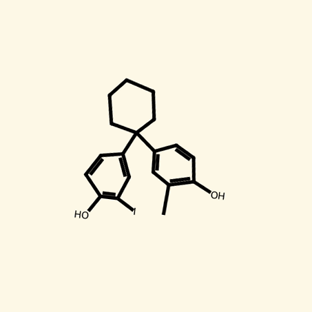 Cc1cc(C2(c3ccc(O)c(I)c3)CCCCC2)ccc1O